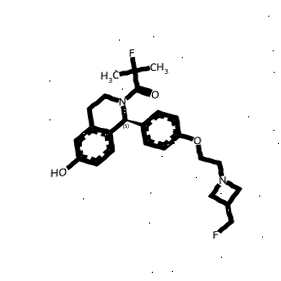 CC(C)(F)C(=O)N1CCc2cc(O)ccc2[C@@H]1c1ccc(OCCN2CC(CF)C2)cc1